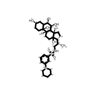 CC[C@@H]1C2C[C@H](O)CC[C@@]2(C)[C@H]2CCC3(C)[C@@H]([C@H](C)CNS(=O)(=O)c4cccc(N5CCCCC5)c4)CC[C@H]3C2[C@@H]1O